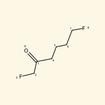 O=C(CF)CCCCF